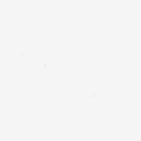 CC(COC=S)C(=O)c1ccccc1